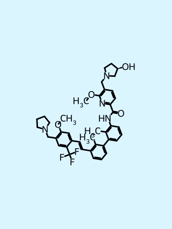 COc1cc(/C=C/c2cccc(-c3cccc(NC(=O)c4ccc(CN5CC[C@@H](O)C5)c(OC)n4)c3C)c2C)c(C(F)(F)F)cc1CN1CCCC1